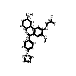 COc1cc2c(cc1OCC(F)F)C1CC(O)CCC1N=C2c1ccc(-n2cncn2)cc1